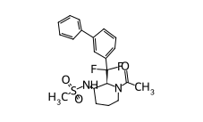 CC(=O)N1CCC[C@@H](NS(C)(=O)=O)[C@H]1C(F)(F)c1cccc(-c2ccccc2)c1